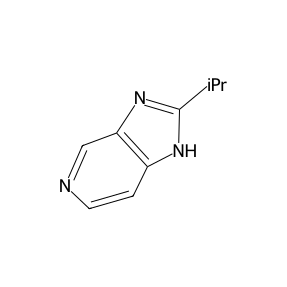 CC(C)c1nc2cnccc2[nH]1